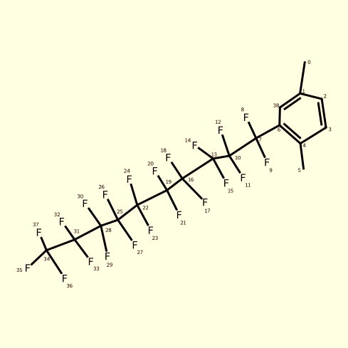 Cc1ccc(C)c(C(F)(F)C(F)(F)C(F)(F)C(F)(F)C(F)(F)C(F)(F)C(F)(F)C(F)(F)C(F)(F)C(F)(F)F)c1